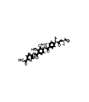 COc1c(NC(=O)c2ccc(NC(=O)CNC=O)cc2)ccc(C(=O)Nc2ccc(C(=O)O)nc2)c1O